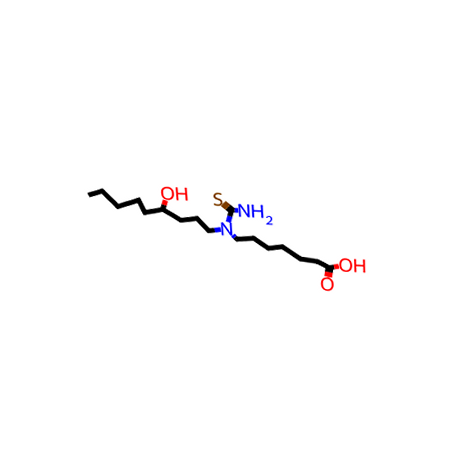 CCCCCC(O)CCCN(CCCCCCC(=O)O)C(N)=S